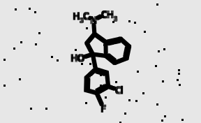 CN(C)C1CC(O)(c2ccc(F)c(Cl)c2)c2ccccc21